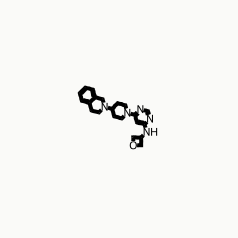 c1ccc2c(c1)CCN(C1CCN(c3cc(NC4COC4)ncn3)CC1)C2